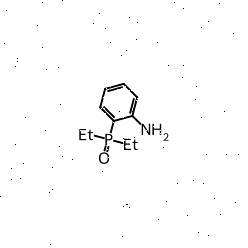 CCP(=O)(CC)c1ccccc1N